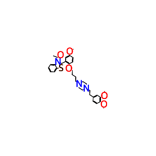 COc1ccc(OCCCCN2CCN(CCc3ccc(OC)c(OC)c3)CC2)c(C2Sc3ccccc3N2C(C)=O)c1